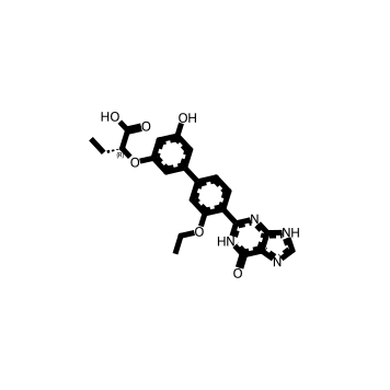 CCOc1cc(-c2cc(O)cc(O[C@H](CC)C(=O)O)c2)ccc1-c1nc2[nH]cnc2c(=O)[nH]1